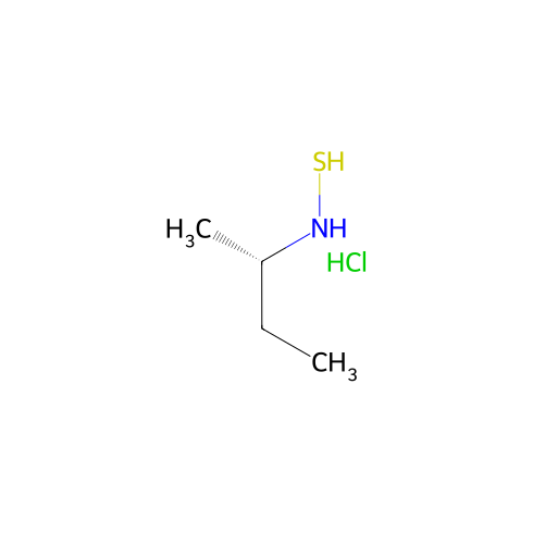 CC[C@H](C)NS.Cl